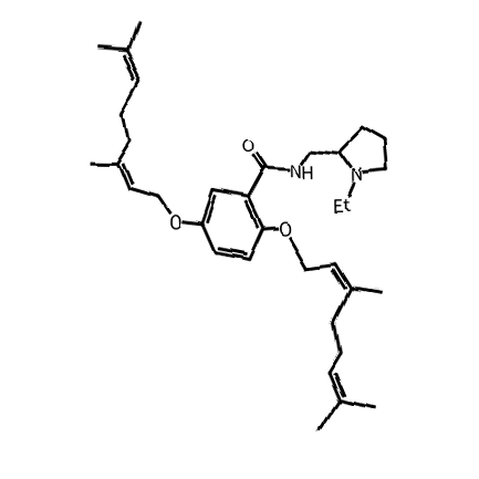 CCN1CCCC1CNC(=O)c1cc(OCC=C(C)CCC=C(C)C)ccc1OCC=C(C)CCC=C(C)C